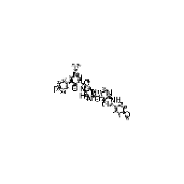 COc1ccc(CNc2nccc(Oc3ncc(NC(=O)c4nn(C5CC5)cc(-c5ccc(F)cc5)c4=O)cn3)c2Cl)cc1